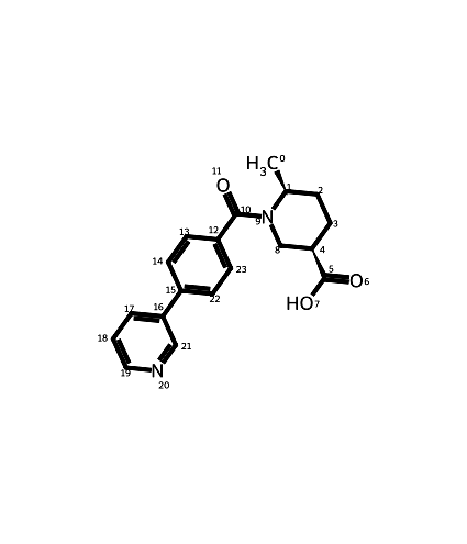 C[C@H]1CC[C@@H](C(=O)O)CN1C(=O)c1ccc(-c2cccnc2)cc1